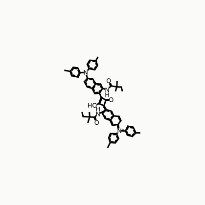 CCC(C)(C)C(=O)Nc1cc2cc(N(c3ccc(C)cc3)c3ccc(C)cc3)ccc2cc1C1=C(O)/C(=c2/cc3c(cc2NC(=O)C(C)(C)CC)=CC(=[N+](c2ccc(C)cc2)c2ccc(C)cc2)C=C3)C1=O